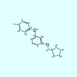 Cc1ccc(Oc2cccc(OCC3CCCC3)c2)cc1